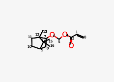 C=CC(=O)OCOC1CC2CCC1(C)C2(C)C